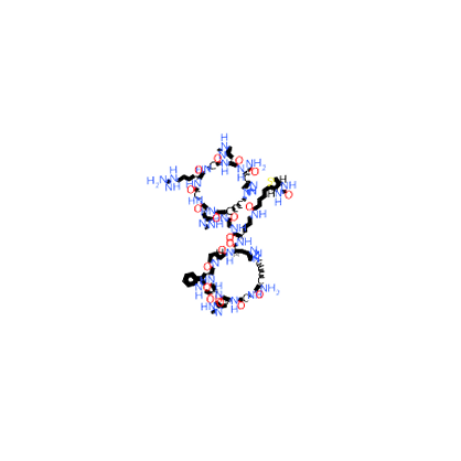 CC(O)[C@H]1NC(=O)[C@@H](Cc2c[nH]cn2)NC(=O)CNC(=O)[C@@H](N)CCCCn2cc(nn2)C[C@@H](C(=O)N[C@@H](CCCCNC(=O)CCCCC2SC[C@@H]3NC(=O)N[C@H]23)C(=O)NCC(=O)N[C@H]2CCCCn3cc(nn3)C[C@@H](C(N)=O)NC(=O)[C@@H](Cc3c[nH]cn3)NC(=O)CNC(=O)[C@@H](CCCCNC(=N)N)NC(=O)CNC(=O)[C@@H](Cc3c[nH]cn3)NC2=O)NC(=O)[C@H]2CCCN2C(=O)[C@@H](Cc2c[nH]c3ccccc23)NC1=O